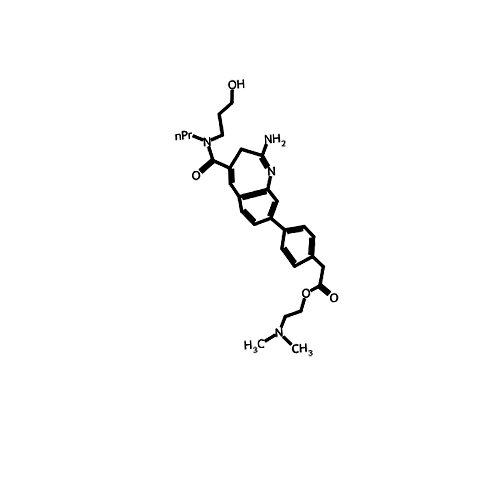 CCCN(CCCO)C(=O)C1=Cc2ccc(-c3ccc(CC(=O)OCCN(C)C)cc3)cc2N=C(N)C1